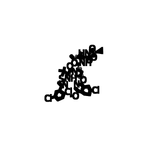 C=C[C@@H]1C[C@]1(NC(=O)[C@@H]1C[C@@H](Oc2ncc(OC)c3ccc(Cl)cc23)CN1C(=O)[C@@H](Nc1nc(-c2cc(Cl)ccc2Cl)cs1)C(C)(C)C)C(=O)NS(=O)(=O)C1CC1